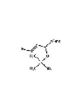 CCCCCC(C=CI)O[Si](C)(C)C(C)(C)C